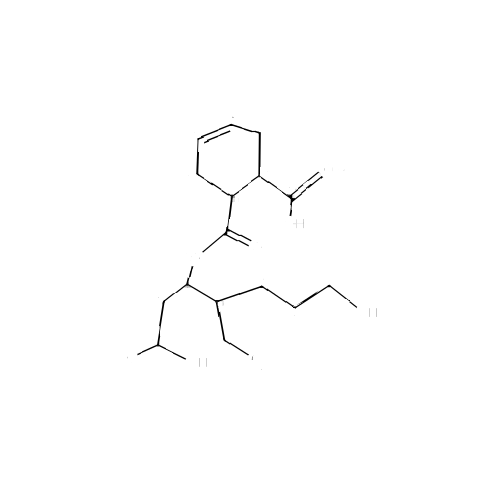 CCCCC(CC)C(CC(C)C)OC(=O)C1CC=CCC1C(=O)O